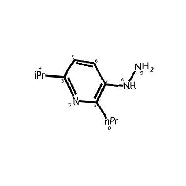 CCCc1nc(C(C)C)ccc1NN